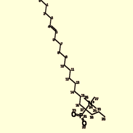 CCCCC=CCCCCCCCCCCCC(CCC)(P(=O)=O)[N+](C)(C)C